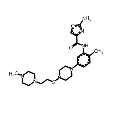 Cc1ccc(N2CCN(SCCN3CCN(C)CC3)CC2)cc1NC(=O)c1coc(N)n1